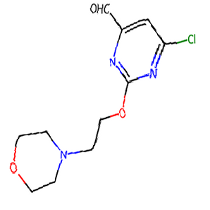 O=Cc1cc(Cl)nc(OCCN2CCOCC2)n1